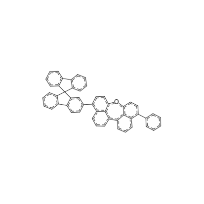 c1ccc(-c2ccc3oc4ccc(-c5ccc6c(c5)C5(c7ccccc7-c7ccccc75)c5ccccc5-6)c5cccc(c6cccc2c36)c45)cc1